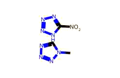 Cn1cnnn1.O=[N+]([O-])c1nnn[nH]1